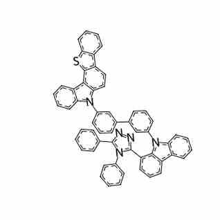 c1ccc(-c2nnc(-c3cccc4c5ccccc5n(-c5cccc(-c6cccc(-n7c8ccccc8c8c9sc%10ccccc%10c9ccc87)c6)c5)c34)n2-c2ccccc2)cc1